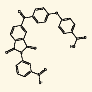 O=C(O)c1ccc(Oc2ccc(C(=O)c3ccc4c(c3)C(=O)N(c3cccc([N+](=O)[O-])c3)C4=O)cc2)cc1